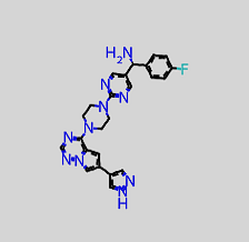 N[C@@H](c1ccc(F)cc1)c1cnc(N2CCN(c3ncnn4cc(-c5cn[nH]c5)cc34)CC2)nc1